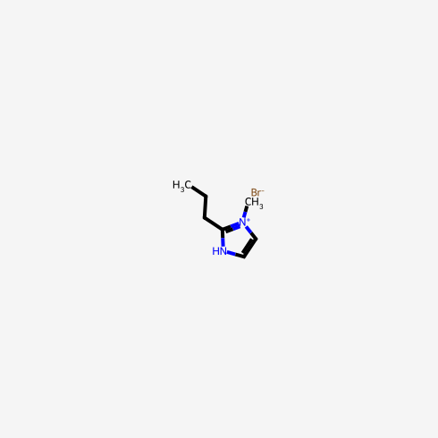 CCCc1[nH]cc[n+]1C.[Br-]